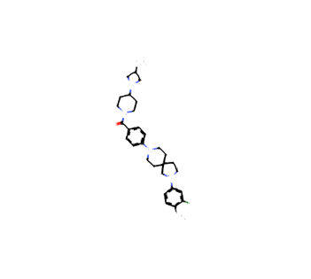 CNC1CN(C2CCN(C(=O)c3ccc(N4CCC5(CC4)C[C@H](C)N(c4ccc(C#N)c(Cl)c4)C5)cc3)CC2)C1